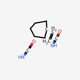 C1CCCCC1.C=C.N=C=O.N=C=O